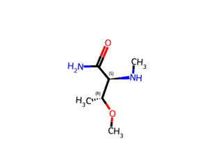 CN[C@H](C(N)=O)[C@@H](C)OC